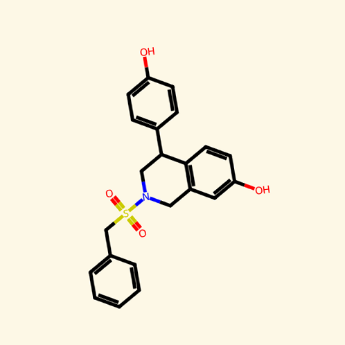 O=S(=O)(Cc1ccccc1)N1Cc2cc(O)ccc2C(c2ccc(O)cc2)C1